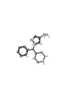 Nc1cnn(C(c2ccccc2)C2CCSCC2)c1